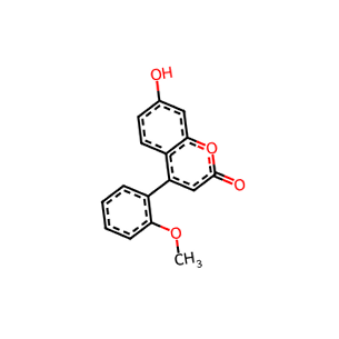 COc1ccccc1-c1cc(=O)oc2cc(O)ccc12